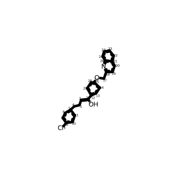 OC(=CCCc1ccc(Cl)cc1)c1ccc(OCc2ccc3ccccc3n2)cc1